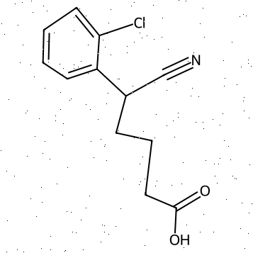 N#CC(CCCC(=O)O)c1ccccc1Cl